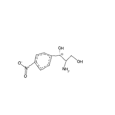 NC(CO)[C@@H](O)c1ccc([N+](=O)[O-])cc1